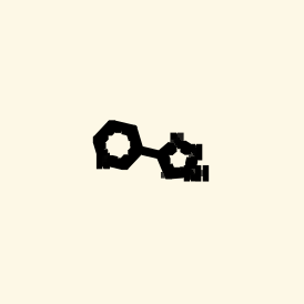 [c]1[nH]nnc1-c1cccnc1